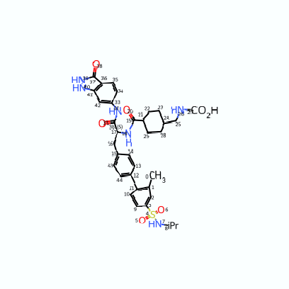 Cc1cc(S(=O)(=O)NC(C)C)ccc1-c1ccc(C[C@H](NC(=O)C2CCC(CNC(=O)O)CC2)C(=O)Nc2ccc3c(=O)[nH][nH]c3c2)cc1